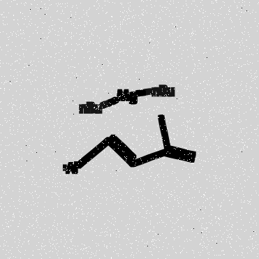 C=C(C)C=[CH][Al].CCC[CH2][Mg][CH2]CCC